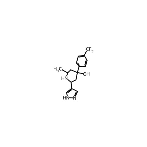 CC1CC(O)(c2ccc(C(F)(F)F)cc2)CC(c2cn[nH]c2)N1